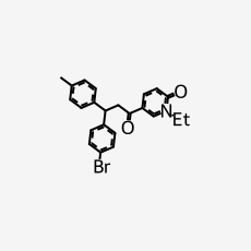 CCn1cc(C(=O)CC(c2ccc(C)cc2)c2ccc(Br)cc2)ccc1=O